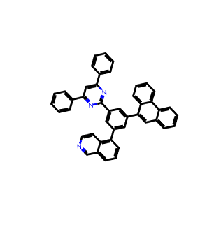 c1ccc(-c2cc(-c3ccccc3)nc(-c3cc(-c4cccc5cnccc45)cc(-c4cc5ccccc5c5ccccc45)c3)n2)cc1